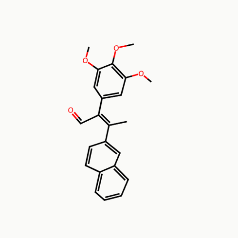 COc1cc(C(C=O)=C(C)c2ccc3ccccc3c2)cc(OC)c1OC